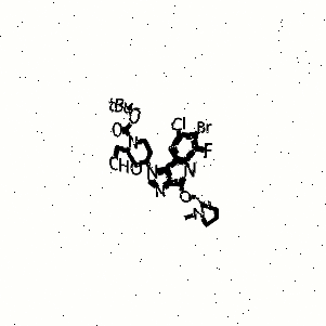 CN1CCC[C@H]1COc1nc2c(F)c(Br)c(Cl)cc2c2c1ncn2C1CCN(C(=O)OC(C)(C)C)C(CC=O)C1